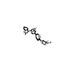 Cc1cc(-c2cnc3cc(-c4ccc(N5C[C@@H](C)N[C@@H](C)C5)nc4)ccn23)c2ccccc2n1